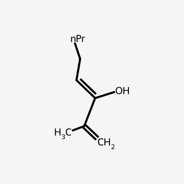 C=C(C)C(O)=CCCCC